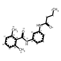 CCCC(=O)Nc1cccc(NC(=O)c2c(C)cccc2C)c1